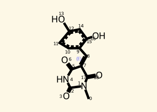 CN1C(=O)NC(=O)/C(=C\c2ccc(O)cc2O)C1=O